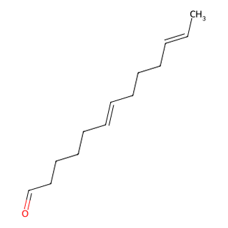 CC=CCCCC=CCCCCC=O